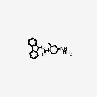 CC1CC(NN)CCN1C(=O)OC1c2ccccc2-c2ccccc21